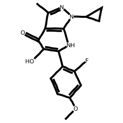 COc1ccc(-c2[nH]c3c(c(C)nn3C3CC3)c(=O)c2O)c(F)c1